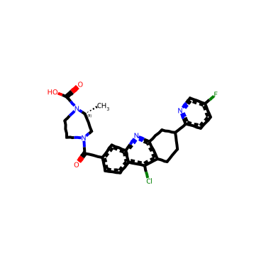 C[C@@H]1CN(C(=O)c2ccc3c(Cl)c4c(nc3c2)CC(c2ccc(F)cn2)CC4)CCN1C(=O)O